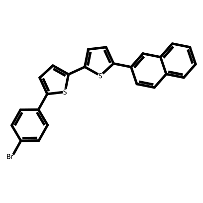 Brc1ccc(-c2ccc(-c3ccc(-c4ccc5ccccc5c4)s3)s2)cc1